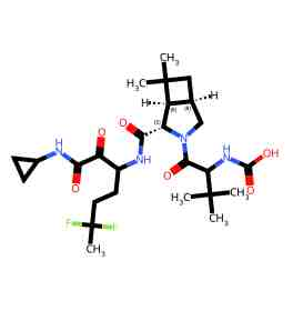 CC(F)(F)CCC(NC(=O)[C@@H]1[C@@H]2[C@H](CN1C(=O)C(NC(=O)O)C(C)(C)C)CC2(C)C)C(=O)C(=O)NC1CC1